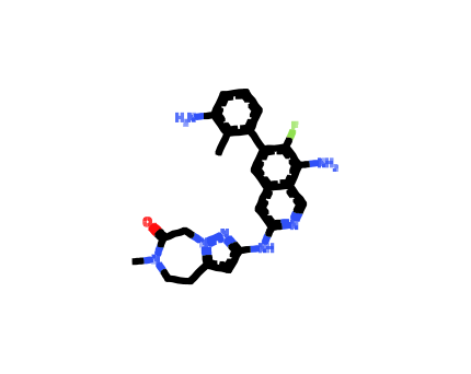 Cc1c(N)cccc1-c1cc2cc(Nc3cc4n(n3)CC(=O)N(C)CC4)ncc2c(N)c1F